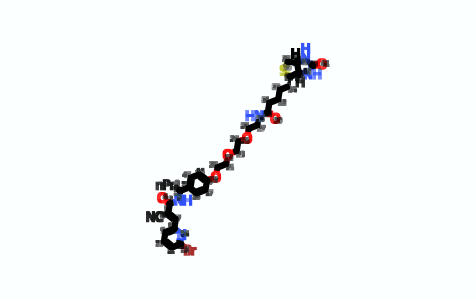 CCCC(NC(=O)C(C#N)=Cc1cccc(Br)n1)c1ccc(OCCOCCOCCNC(=O)CCCC[C@@H]2SC[C@@H]3NC(=O)N[C@@H]32)cc1